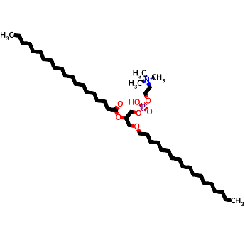 CCCCCCCCCCCCCCCCCCCC(=O)OC(COCCCCCCCCCCCCCCCCCC)COP(=O)(O)OCC[N+](C)(C)C